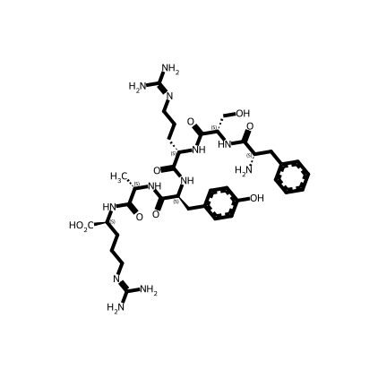 C[C@H](NC(=O)[C@H](Cc1ccc(O)cc1)NC(=O)[C@H](CCCN=C(N)N)NC(=O)[C@H](CO)NC(=O)[C@@H](N)Cc1ccccc1)C(=O)N[C@@H](CCCN=C(N)N)C(=O)O